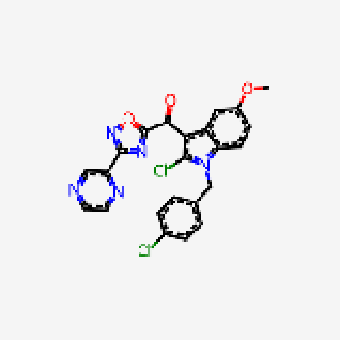 COc1ccc2c(c1)c(C(=O)c1nc(-c3cnccn3)no1)c(Cl)n2Cc1ccc(Cl)cc1